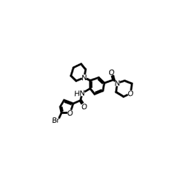 O=C(Nc1ccc(C(=O)N2CCOCC2)cc1N1CCCCC1)c1ccc(Br)o1